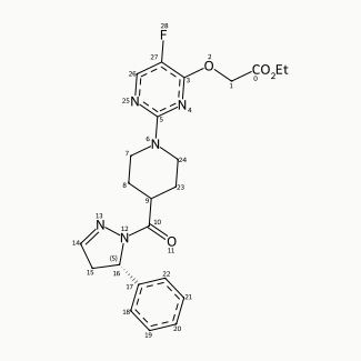 CCOC(=O)COc1nc(N2CCC(C(=O)N3N=CC[C@H]3c3ccccc3)CC2)ncc1F